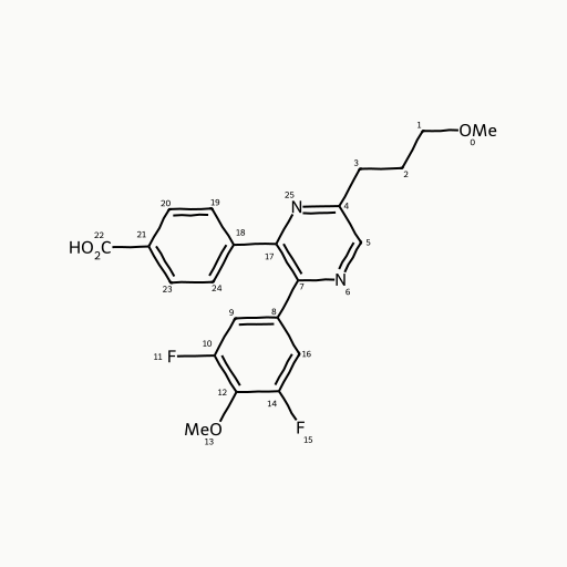 COCCCc1cnc(-c2cc(F)c(OC)c(F)c2)c(-c2ccc(C(=O)O)cc2)n1